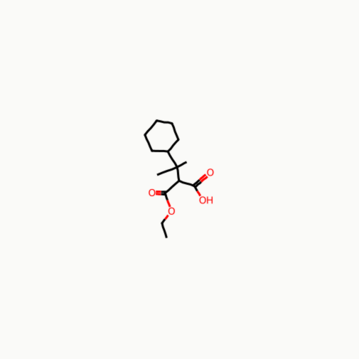 CCOC(=O)C(C(=O)O)C(C)(C)C1CCCCC1